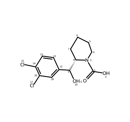 O=C(O)N1CCCC[C@H]1C(O)c1ccc(Cl)c(Cl)c1